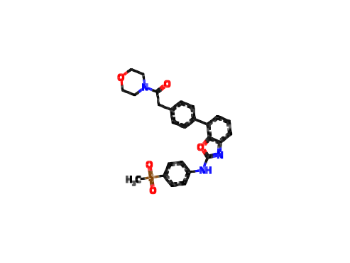 CS(=O)(=O)c1ccc(Nc2nc3cccc(-c4ccc(CC(=O)N5CCOCC5)cc4)c3o2)cc1